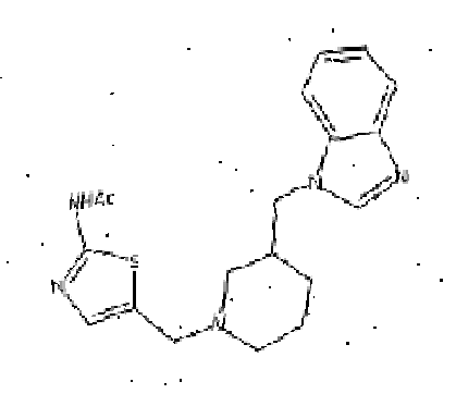 CC(=O)Nc1ncc(CN2CCCC(Cn3cnc4ccccc43)C2)s1